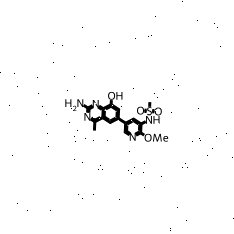 COc1ncc(-c2cc(O)c3nc(N)nc(C)c3c2)cc1NS(C)(=O)=O